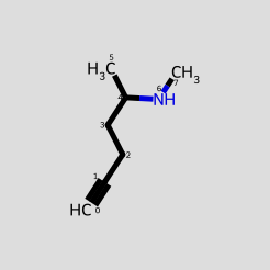 C#CCCC(C)NC